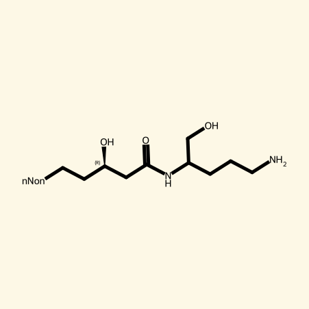 CCCCCCCCCCC[C@@H](O)CC(=O)NC(CO)CCCN